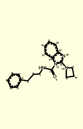 O=C(NCCCc1ccccc1)n1c(N2CCC2)nc2ccccc21